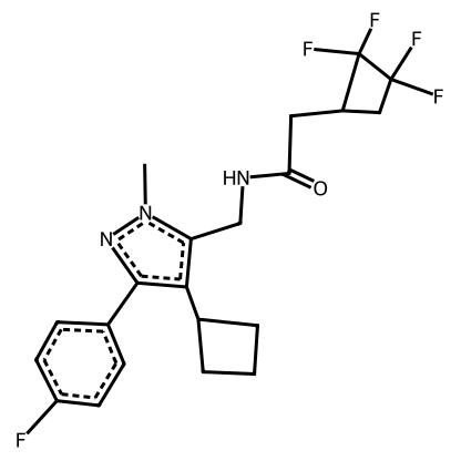 Cn1nc(-c2ccc(F)cc2)c(C2CCC2)c1CNC(=O)CC1CC(F)(F)C1(F)F